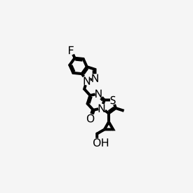 Cc1sc2nc(Cn3ncc4cc(F)ccc43)cc(=O)n2c1C1CC1CO